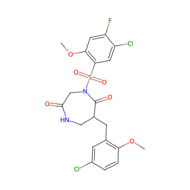 COc1ccc(Cl)cc1CC1CNC(=O)CN(S(=O)(=O)c2cc(Cl)c(F)cc2OC)C1=O